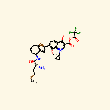 COc1c(-c2cc3c(s2)CCCC3NC(=O)[C@H](N)CCSC)ccc2c(=O)c(C(=O)OC(=O)C(F)(F)F)cn(C3CC3)c12